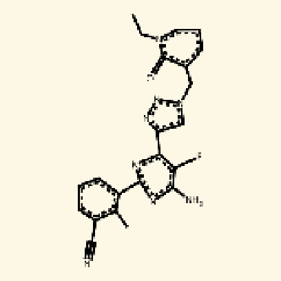 CCn1cccc(Cn2cc(-c3nc(-c4cccc(C#N)c4C)nc(N)c3F)nn2)c1=O